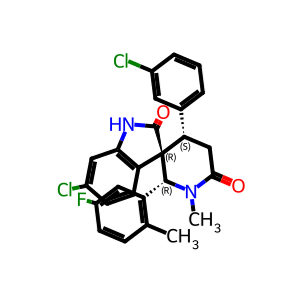 Cc1ccc(F)cc1[C@H]1N(C)C(=O)C[C@@H](c2cccc(Cl)c2)[C@]12C(=O)Nc1cc(Cl)ccc12